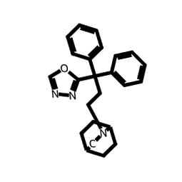 c1ccc(C(CCN2CC3CCC2CC3)(c2ccccc2)c2nnco2)cc1